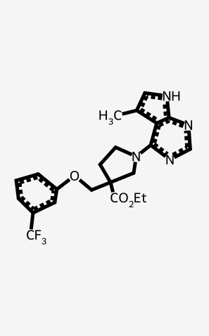 CCOC(=O)C1(COc2cccc(C(F)(F)F)c2)CCN(c2ncnc3[nH]cc(C)c23)C1